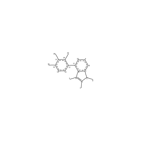 C[C]1C(C)=C(C)c2c1cccc2-c1ccc(C)c(C)c1C